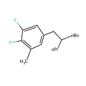 CCCCC(CCC)Cc1cc(C)c(F)c(F)c1